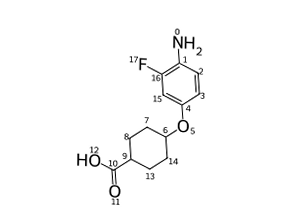 Nc1ccc(OC2CCC(C(=O)O)CC2)cc1F